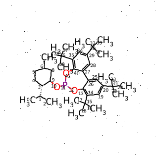 CC(C)[C@@H]1CC[C@@H](C)C[C@H]1Op1oc2c(C(C)(C)C)cc(C(C)(C)C)cc2c2cc(C(C)(C)C)cc(C(C)(C)C)c2o1